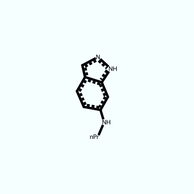 CCCNc1ccc2cn[nH]c2c1